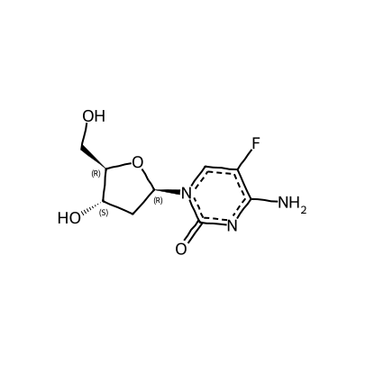 Nc1nc(=O)n([C@H]2C[C@H](O)[C@@H](CO)O2)cc1F